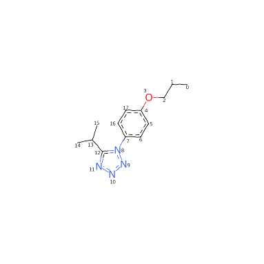 CCCOc1ccc(-n2nnnc2C(C)C)cc1